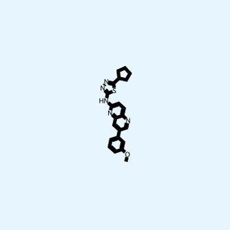 COc1cccc(-c2cnc3ccc(Nc4nnc(C5CCCC5)s4)nc3c2)c1